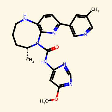 COc1cc(NC(=O)N2c3nc(-c4cncc(C)c4)ccc3NCCC[C@H]2C)ncn1